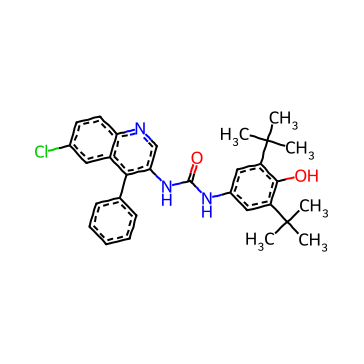 CC(C)(C)c1cc(NC(=O)Nc2cnc3ccc(Cl)cc3c2-c2ccccc2)cc(C(C)(C)C)c1O